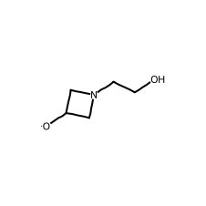 [O]C1CN(CCO)C1